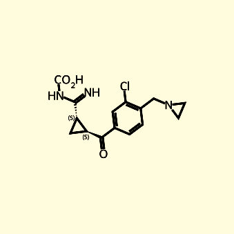 N=C(NC(=O)O)[C@H]1C[C@@H]1C(=O)c1ccc(CN2CC2)c(Cl)c1